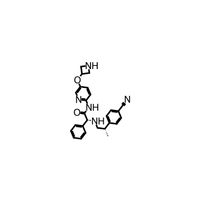 C[C@H](CN[C@@H](C(=O)Nc1ccc(OC2CNC2)cn1)c1ccccc1)c1ccc(C#N)cc1